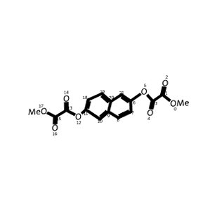 COC(=O)C(=O)Oc1ccc2cc(OC(=O)C(=O)OC)ccc2c1